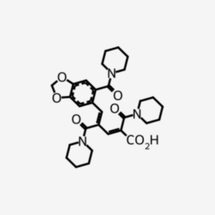 O=C(O)/C(=C/C(=Cc1cc2c(cc1C(=O)N1CCCCC1)OCO2)C(=O)N1CCCCC1)C(=O)N1CCCCC1